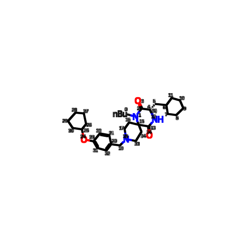 CCCCN1C(=O)[C@H](CC2CCCCC2)NC(=O)C12CCN(Cc1ccc(OC3CCCCC3)cc1)CC2